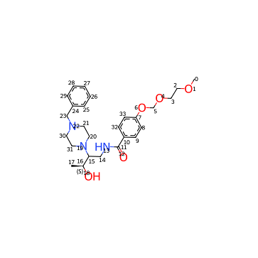 COCCOCOc1ccc(C(=O)NCC([C@H](C)O)N2CCN(Cc3ccccc3)CC2)cc1